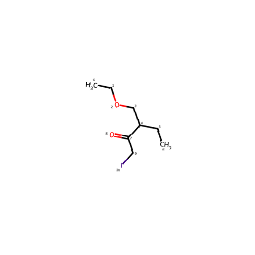 CCOCC(CC)C(=O)CI